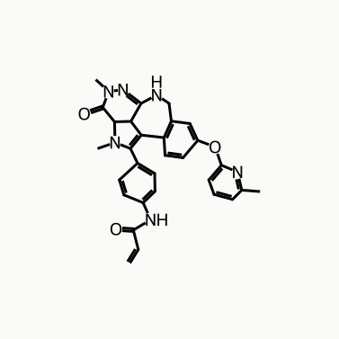 C=CC(=O)Nc1ccc(C2=C3c4ccc(Oc5cccc(C)n5)cc4CNC4=NN(C)C(=O)C(C43)N2C)cc1